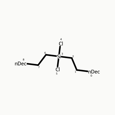 CCCCCCCCCCCC[Si](Cl)(Cl)CCCCCCCCCCCC